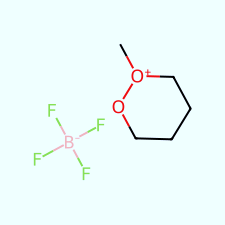 C[O+]1CCCCO1.F[B-](F)(F)F